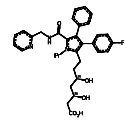 CC(C)n1c(CC[C@@H](O)C[C@@H](O)CC(=O)O)c(-c2ccc(F)cc2)c(-c2ccccc2)c1C(=O)NCc1ccccn1